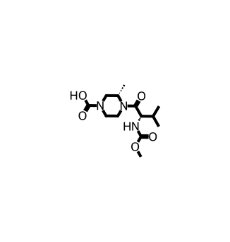 COC(=O)N[C@H](C(=O)N1CCN(C(=O)O)C[C@@H]1C)C(C)C